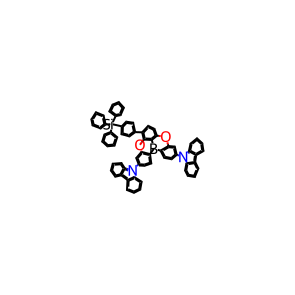 c1ccc([Si](c2ccccc2)(c2ccccc2)c2ccc(-c3ccc4c5c3Oc3cc(-n6c7ccccc7c7ccccc76)ccc3B5c3ccc(-n5c6ccccc6c6ccccc65)cc3O4)cc2)cc1